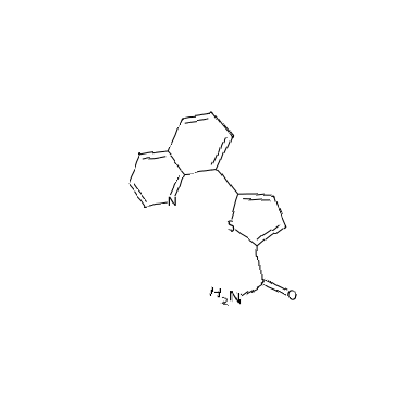 NC(=O)c1ccc(-c2cccc3cccnc23)s1